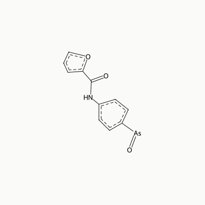 O=[As]c1ccc(NC(=O)c2ccco2)cc1